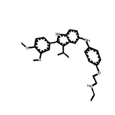 CCNCCOc1ccc(Nc2ccc3[nH]c(-c4ccc(OC)c(OC)c4)c(C(C)C)c3c2)cc1